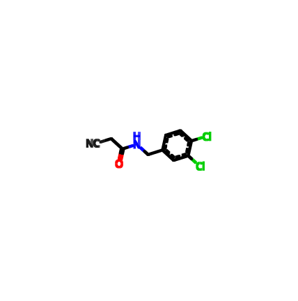 N#CCC(=O)NCc1ccc(Cl)c(Cl)c1